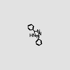 c1ccc(C2N=NN(c3ccccc3)N2)cc1